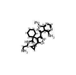 CC(C)n1nc(-c2noc(C3CC3)c2C2(C(=O)NCCN)CCCCC2)c2c(N)ncnc21